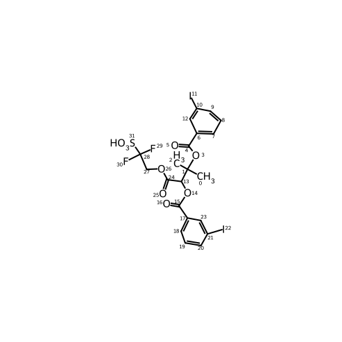 CC(C)(OC(=O)c1cccc(I)c1)C(OC(=O)c1cccc(I)c1)C(=O)OCC(F)(F)S(=O)(=O)O